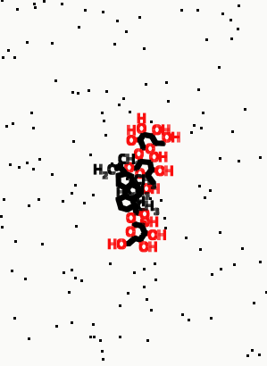 C=C(C)[C@]1(OC2OC(CO)C(O)C(O)C2OC2OC(CO)C(O)C(O)C2O)CC[C@@H]2[C@@](C)(CC[C@H]3[C@@]2(C)CCC[C@@]3(C)C(=O)OC2OC(CO)C(O)C(O)C2O)C1